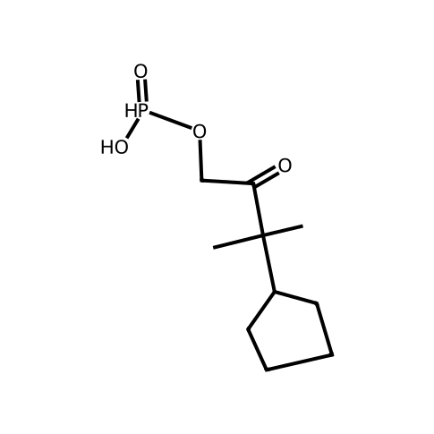 CC(C)(C(=O)CO[PH](=O)O)C1CCCC1